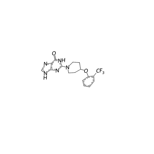 O=c1[nH]c(N2CCC(Oc3ccccc3C(F)(F)F)CC2)nc2[nH]cnc12